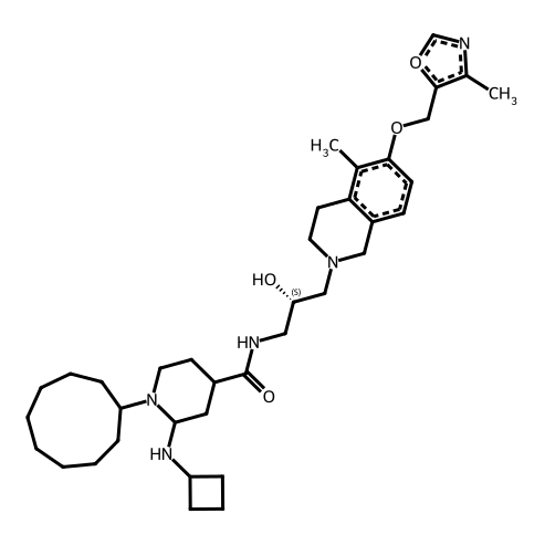 Cc1ncoc1COc1ccc2c(c1C)CCN(C[C@@H](O)CNC(=O)C1CCN(C3CCCCCCCC3)C(NC3CCC3)C1)C2